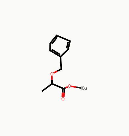 CCC(C)OC(=O)C(C)OCc1ccccc1